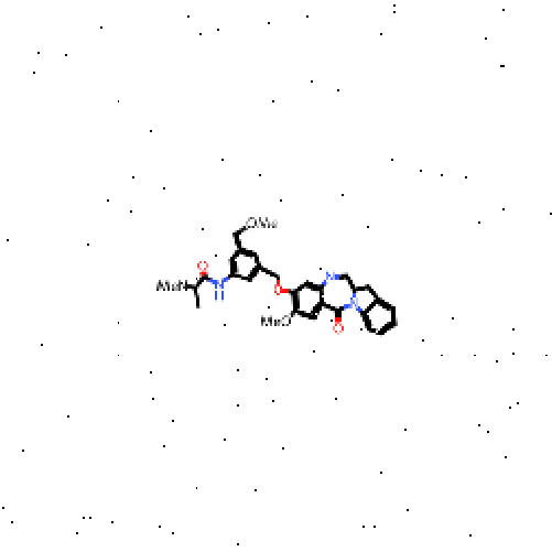 CNC(C)C(=O)Nc1cc(COC)cc(COc2cc3c(cc2OC)C(=O)N2c4ccccc4CC2C=N3)c1